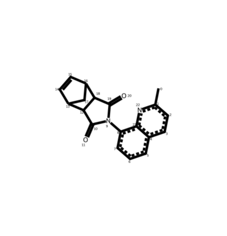 Cc1ccc2cccc(N3C(=O)C4C5C=CC(C5)C4C3=O)c2n1